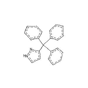 c1ccc(C(c2ccccc2)(c2ccccc2)c2cc[nH]n2)cc1